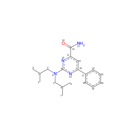 CC(C)CN(CC(C)C)c1nc(C(N)=O)cc(-c2ccccc2)n1